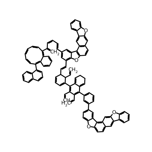 C=Cc1c(C=C)c(-c2cccc(-c3ccc4oc5ccc6cc7c(cc6c5c4c3)oc3ccccc37)c2)c2c(c1C1=CC=CC(/C=C/c3cc(/C=C/C=C\C(=C)c4ccccccc(-c5cccc6ccccc56)c5ccccc45)cc4c3oc3ccc5cc6oc7ccccc7c6cc5c34)C1C=C)=CCCC=2